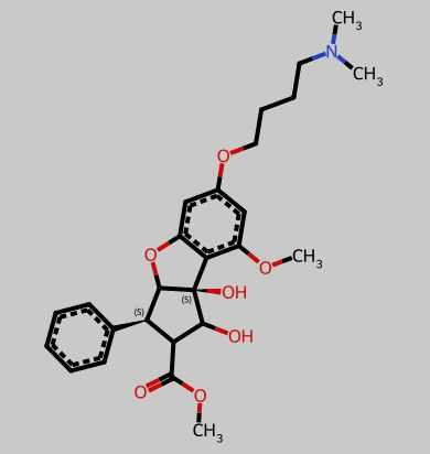 COC(=O)C1C(O)[C@@]2(O)c3c(OC)cc(OCCCCN(C)C)cc3OC2[C@@H]1c1ccccc1